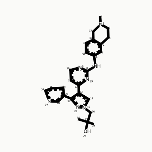 CN1CCc2cc(Nc3nccc(-c4cn(CC(C)(C)O)nc4-c4cccnc4)n3)ccc2C1